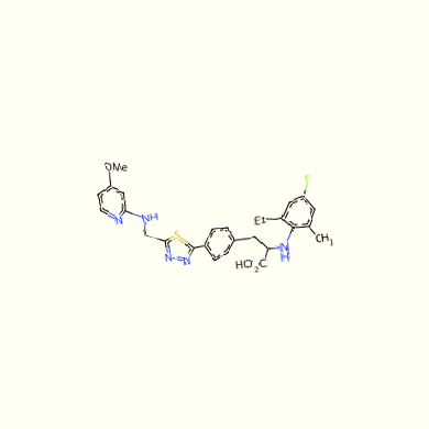 CCc1cc(F)cc(C)c1NC(Cc1ccc(-c2nnc(CNc3cc(OC)ccn3)s2)cc1)C(=O)O